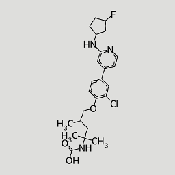 CC(COc1ccc(-c2ccnc(NC3CCC(F)C3)c2)cc1Cl)CC(C)(C)NC(=O)O